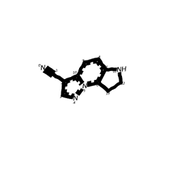 N#Cc1cnn2c3c(ccc12)NCC3